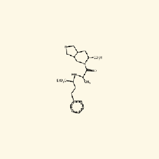 CCOC(=O)[C@H](CCc1ccccc1)NC(C)C(=O)N1CC2COCC2C[C@H]1C(=O)O